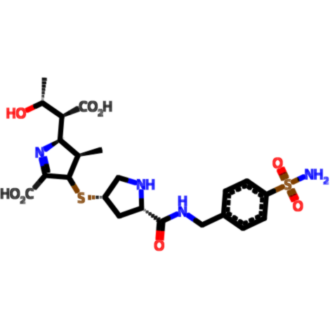 C[C@@H](O)[C@@H](C(=O)O)[C@@H]1N=C(C(=O)O)C(S[C@@H]2CN[C@H](C(=O)NCc3ccc(S(N)(=O)=O)cc3)C2)[C@@H]1C